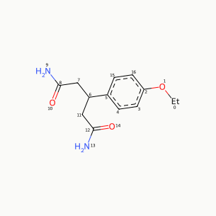 CCOc1ccc(C(CC(N)=O)CC(N)=O)cc1